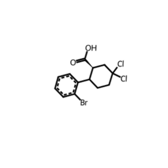 O=C(O)[C@H]1CC(Cl)(Cl)CCC1c1ccccc1Br